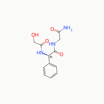 NC(=O)CNC(=O)[C@H](NC(=O)CO)c1ccccc1